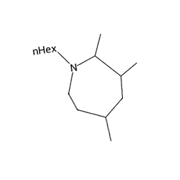 CCCCCCN1CCC(C)CC(C)C1C